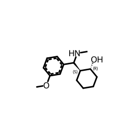 CNC(c1cccc(OC)c1)[C@@H]1CCCC[C@H]1O